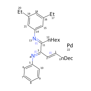 CCCCCCCCCC/C=C/C(=N\c1ccccc1)C(/CCCCCC)=N/c1cc(CC)cc(CC)c1.[Pd]